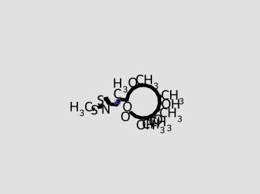 CSc1nc(/C=C(\C)C2CC3OC3(C)CCCC(C)C(O)C(C)C(=O)C(C)(C)C(O)CC(=O)O2)cs1